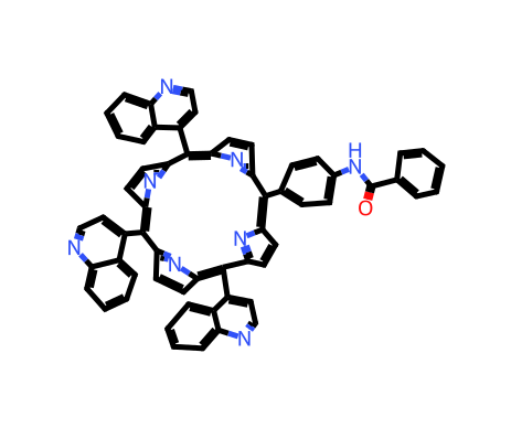 O=C(Nc1ccc(C2=C3C=CC(=N3)C(c3ccnc4ccccc34)=C3C=CC(=N3)C(c3ccnc4ccccc34)=C3C=CC(=N3)C(c3ccnc4ccccc34)=C3C=CC2=N3)cc1)c1ccccc1